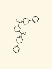 O=C(c1cccc(C(=O)N2CCC(c3ccccc3)CC2)c1)N1CCC(c2ccccc2)CC1